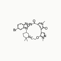 Cn1ncc2c1OCCN1CC(CCC1(C)C)n1c(nc3ccc(Br)cc31)NC(=O)c1cc-2c(=O)n(C)c1